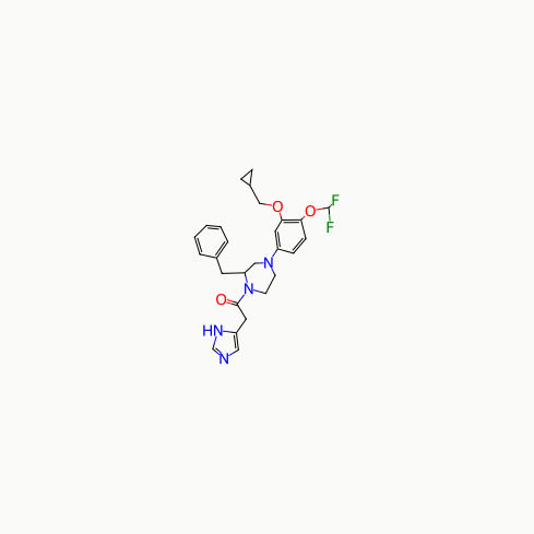 O=C(Cc1cnc[nH]1)N1CCN(c2ccc(OC(F)F)c(OCC3CC3)c2)CC1Cc1ccccc1